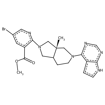 COC(=O)c1cc(Br)cnc1N1CC2CCN(c3ncnc4[nH]ccc34)C[C@@]2(C)C1